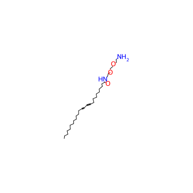 CCCCCCCCCCCCC#CC#CCCCCCCCCC(=O)NCCOCCOCCN